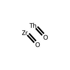 [O]=[Th].[O]=[Zr]